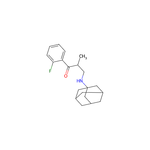 CC(CNC12CC3CC(CC(C3)C1)C2)C(=O)c1ccccc1F